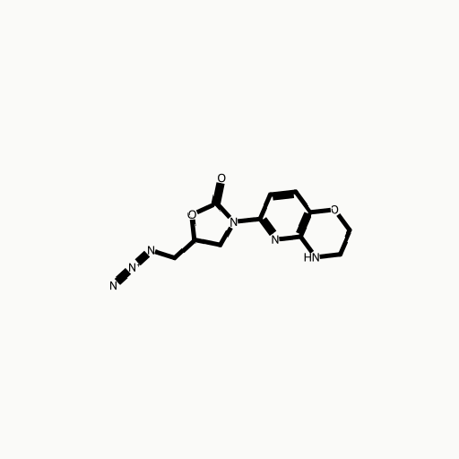 [N-]=[N+]=NCC1CN(c2ccc3c(n2)NCCO3)C(=O)O1